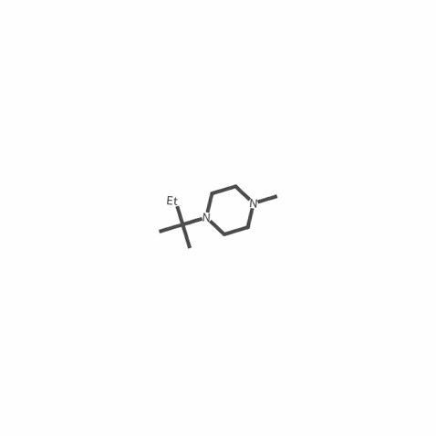 CCC(C)(C)N1CCN(C)CC1